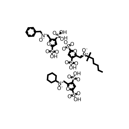 CCCCCC(C)(C)[N+]([O-])=Cc1oc(S(=O)(=O)O)cc1S(=O)(=O)O.O=S(=O)(O)c1cc(S(=O)(=O)O)c(C=[N+]([O-])C2CCCCC2)o1.O=S(=O)(O)c1cc(S(=O)(=O)O)c(C=[N+]([O-])Cc2ccccc2)o1